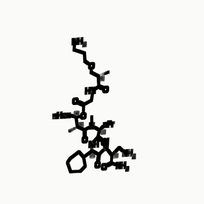 CCCCCC[C@@H](OC(=O)CNC(=O)[C@@H](C)COCCCN)[C@@H](C)C(=O)N(C)[C@@H](CCC)C(=O)N[C@H](C(=O)N[C@@H](CN)C(N)=O)C1CCCCCC1